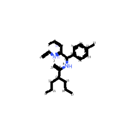 C=C/N=C(\C=C/C)C(NC(=C)C(CCC)CCC)c1ccc(C)cc1